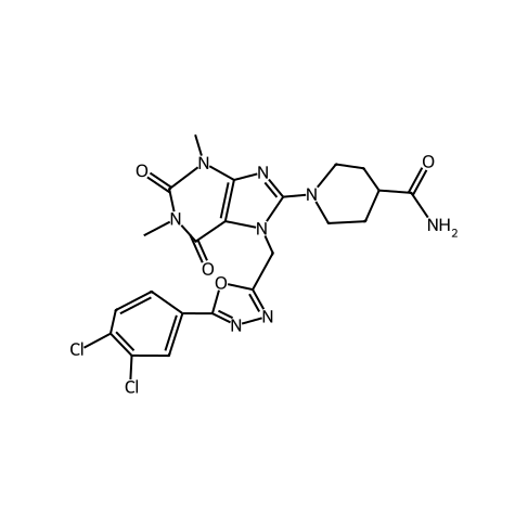 Cn1c(=O)c2c(nc(N3CCC(C(N)=O)CC3)n2Cc2nnc(-c3ccc(Cl)c(Cl)c3)o2)n(C)c1=O